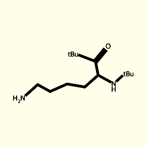 CC(C)(C)NC(CCCCN)C(=O)C(C)(C)C